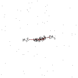 CCCCCCCCCCCCOC(=O)c1ccc(OC(=O)c2ccc(C(=O)Oc3ccc(C(=O)OCCCCCCCCCCCC)cc3)cc2)cc1